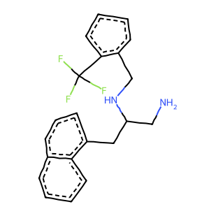 NCC(Cc1cccc2ccccc12)NCc1ccccc1C(F)(F)F